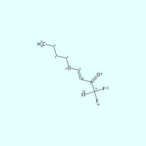 CCCCO/C=C/C(=O)C(F)(F)Cl